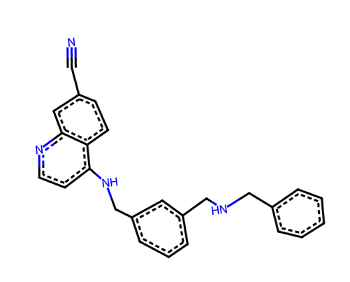 N#Cc1ccc2c(NCc3cccc(CNCc4ccccc4)c3)ccnc2c1